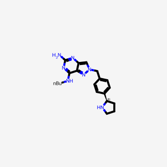 CCCCNc1nc(N)nc2cn(Cc3ccc([C@H]4CCCN4)cc3)nc12